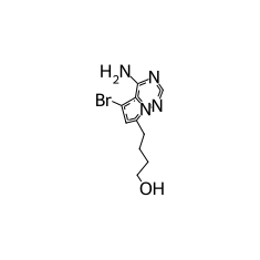 Nc1ncnn2c(CCCCO)cc(Br)c12